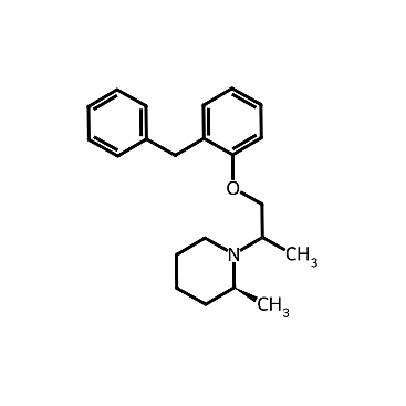 CC(COc1ccccc1Cc1ccccc1)N1CCCC[C@@H]1C